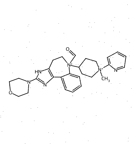 C[N+]1(c2ccccn2)CCC([N+]2(C=O)CCc3[nH]c(N4CCOCC4)nc3-c3ccccc32)CC1